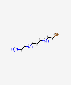 NCCNCCCNCCS